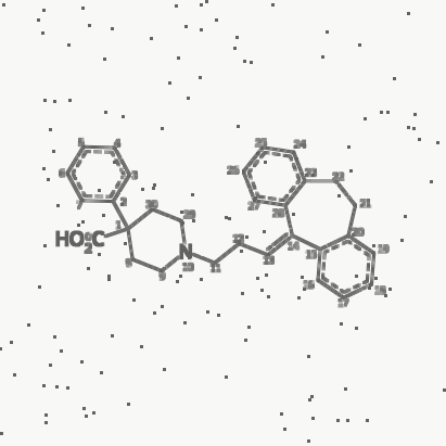 O=C(O)C1(c2ccccc2)CCN(CCC=C2c3ccccc3CCc3ccccc32)CC1